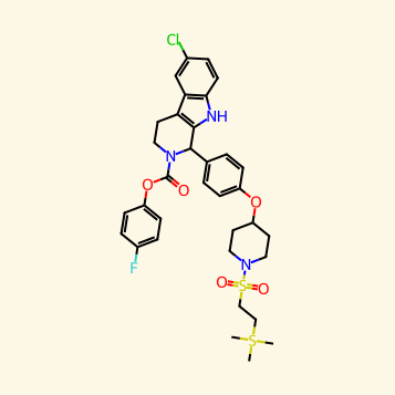 CS(C)(C)CCS(=O)(=O)N1CCC(Oc2ccc(C3c4[nH]c5ccc(Cl)cc5c4CCN3C(=O)Oc3ccc(F)cc3)cc2)CC1